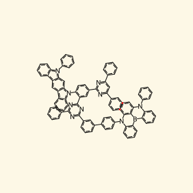 c1ccc(-c2cc(-c3ccccc3)nc(-c3ccc(-n4c5ccccc5c5cc6c7ccccc7n(-c7ccccc7)c6cc54)c(-c4nc(-c5ccccc5)nc(-c5cccc(-c6ccc(N7c8ccccc8B8c9ccccc9N(c9ccccc9)c9cccc7c98)cc6)c5)n4)c3)n2)cc1